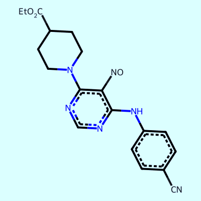 CCOC(=O)C1CCN(c2ncnc(Nc3ccc(C#N)cc3)c2N=O)CC1